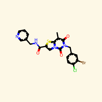 Cc1c(=O)n(Cc2ccc(Cl)c(Br)c2)c(=O)n2cc(C(=O)NCc3cccnc3)sc12